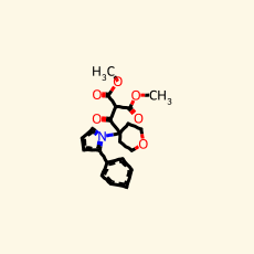 COC(=O)C(C(=O)OC)C(=O)C1(n2cccc2-c2ccccc2)CCOCC1